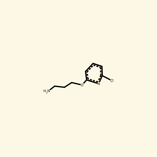 NC[CH]COc1cccc(Cl)n1